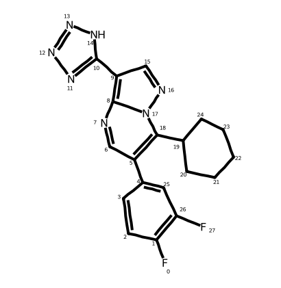 Fc1ccc(-c2cnc3c(-c4nnn[nH]4)cnn3c2C2CCCCC2)cc1F